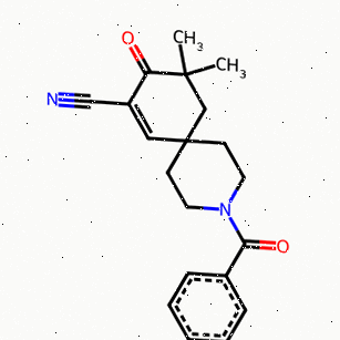 CC1(C)CC2(C=C(C#N)C1=O)CCN(C(=O)c1ccccc1)CC2